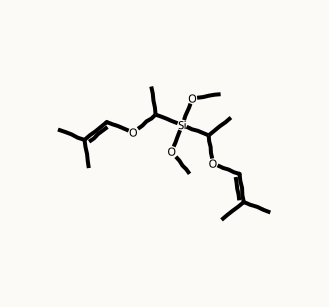 CO[Si](OC)(C(C)OC=C(C)C)C(C)OC=C(C)C